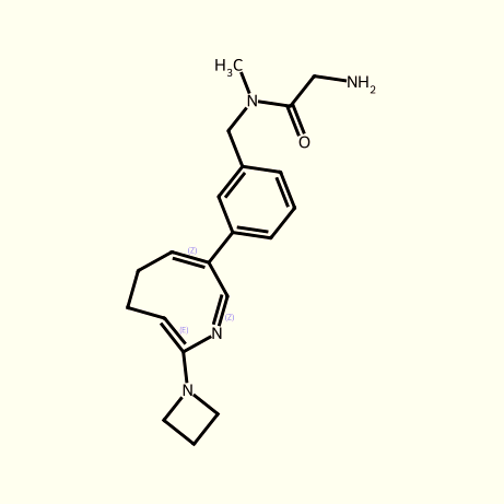 CN(Cc1cccc(C2=C/CC/C=C(N3CCC3)/N=C\2)c1)C(=O)CN